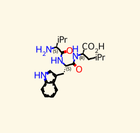 CC(C)C[C@@H](NC(=O)[C@H](Cc1c[nH]c2ccccc12)NC(=O)[C@@H](N)C(C)C)C(=O)O